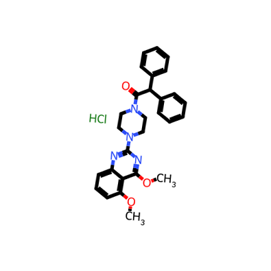 COc1cccc2nc(N3CCN(C(=O)C(c4ccccc4)c4ccccc4)CC3)nc(OC)c12.Cl